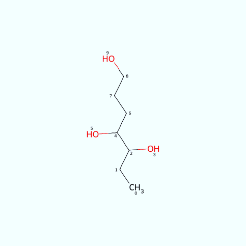 CCC(O)C(O)CCCO